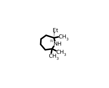 CC[C@@]1(C)CCCCC(C)(C)N1